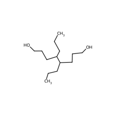 CCCC(CCCO)C(CCC)CCCO